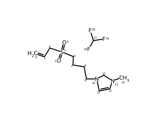 C=CCS(=O)(=O)CCCCN1C=CN(C)C1.FC(F)F